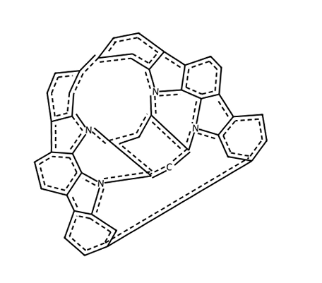 c1cc2c3ccc4c5ccc6cc5n5c7cc8c9cc7n(c2cc1c1ccc2c7ccc%10c%11ccc6cc%11n8c%10c7n9c2c1)c3c45